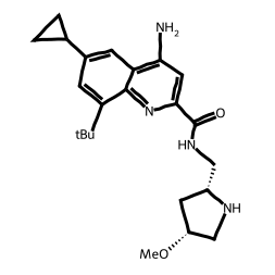 CO[C@H]1CN[C@@H](CNC(=O)c2cc(N)c3cc(C4CC4)cc(C(C)(C)C)c3n2)C1